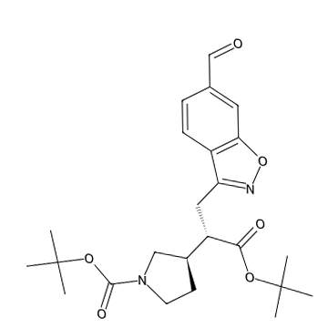 CC(C)(C)OC(=O)[C@@H](Cc1noc2cc(C=O)ccc12)[C@H]1CCN(C(=O)OC(C)(C)C)C1